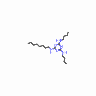 CCCCCCCCNc1nc(NCCCC)nc(NCCCC)n1